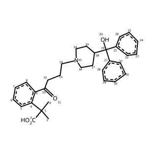 CC(C)(C(=O)O)c1ccccc1C(=O)CCCN1CCC(C(O)(c2ccccc2)c2ccccc2)CC1